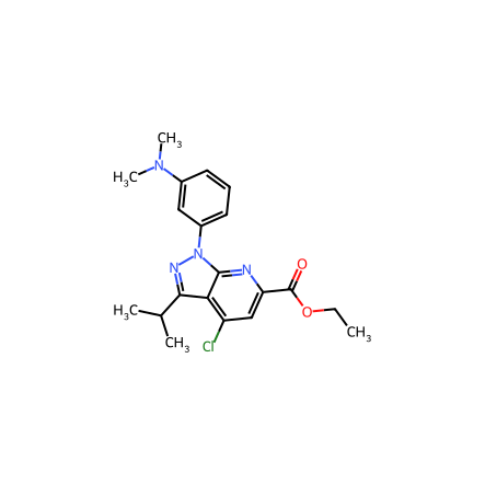 CCOC(=O)c1cc(Cl)c2c(C(C)C)nn(-c3cccc(N(C)C)c3)c2n1